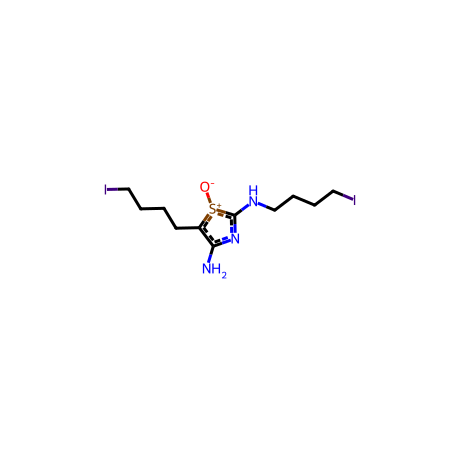 Nc1nc(NCCCCI)[s+]([O-])c1CCCCI